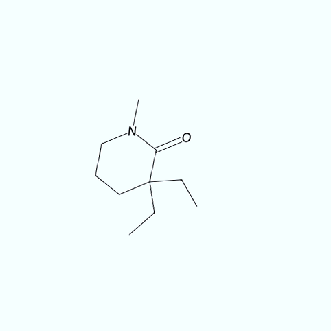 CCC1(CC)CCCN(C)C1=O